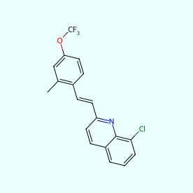 Cc1cc(OC(F)(F)F)ccc1/C=C/c1ccc2cccc(Cl)c2n1